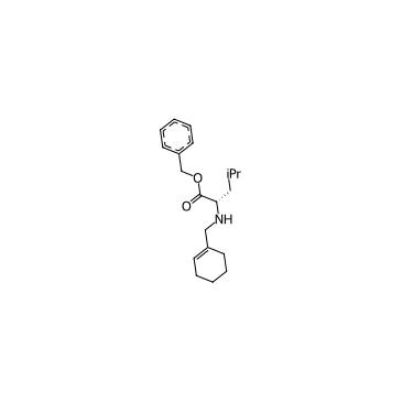 CC(C)C[C@H](NCC1=CCCCC1)C(=O)OCc1ccccc1